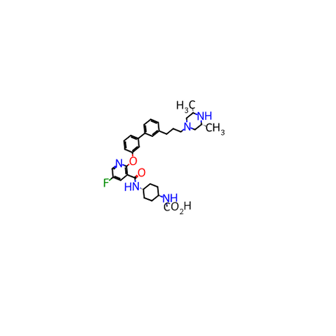 C[C@@H]1CN(CCCc2cccc(-c3cccc(Oc4ncc(F)cc4C(=O)N[C@H]4CC[C@H](NC(=O)O)CC4)c3)c2)C[C@H](C)N1